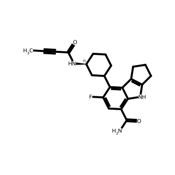 CC#CC(=O)N[C@H]1CCCC(c2c(F)cc(C(N)=O)c3[nH]c4c(c23)CCC4)C1